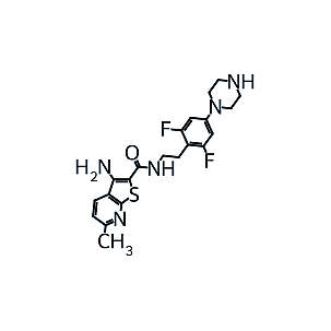 Cc1ccc2c(N)c(C(=O)NCCc3c(F)cc(N4CCNCC4)cc3F)sc2n1